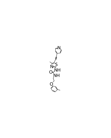 Cc1cccc(OCCNC(=O)Nc2nc(C)c(C#Cc3ccncc3)s2)c1